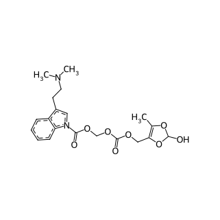 CC1=C(COC(=O)OCOC(=O)n2cc(CCN(C)C)c3ccccc32)OC(O)O1